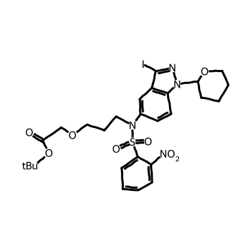 CC(C)(C)OC(=O)COCCCN(c1ccc2c(c1)c(I)nn2C1CCCCO1)S(=O)(=O)c1ccccc1[N+](=O)[O-]